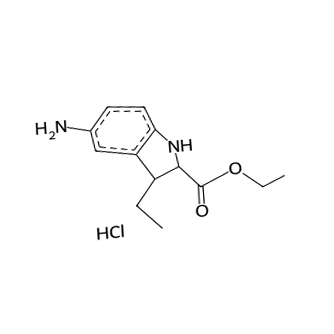 CCOC(=O)C1Nc2ccc(N)cc2C1CC.Cl